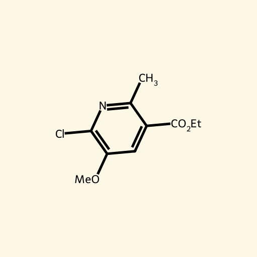 CCOC(=O)c1cc(OC)c(Cl)nc1C